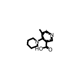 Cc1[c]ncc(C(=O)O)c1N1CCCCC1